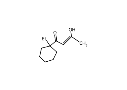 CCC1(C(=O)/C=C(/C)O)CCCCC1